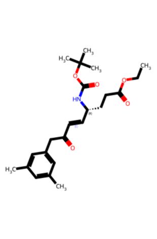 CCOC(=O)CC[C@H](/C=C/C(=O)Cc1cc(C)cc(C)c1)NC(=O)OC(C)(C)C